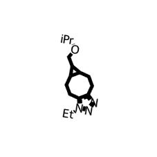 CCn1nnc2c1CCC1C(CC2)C1COC(C)C